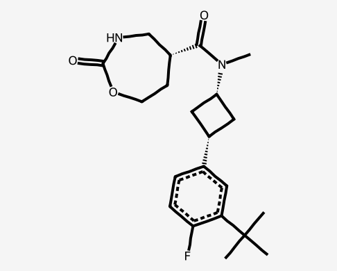 CN(C(=O)[C@@H]1CCOC(=O)NC1)[C@H]1C[C@@H](c2ccc(F)c(C(C)(C)C)c2)C1